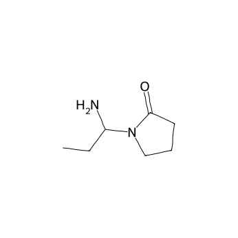 CCC(N)N1CCCC1=O